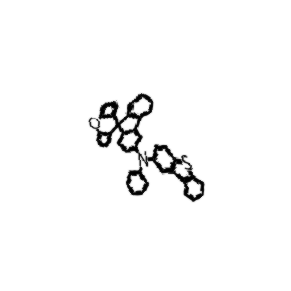 c1ccc(N(c2ccc3c(c2)-c2ccccc2C32c3ccccc3Oc3ccccc32)c2ccc3sc4ccccc4c3c2)cc1